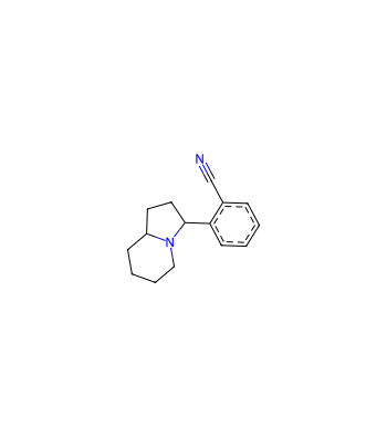 N#Cc1ccccc1C1CCC2CCCCN21